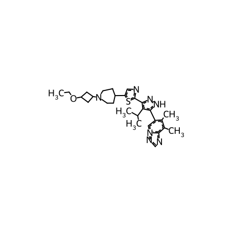 CCOC1CC(N2CCC(c3cnc(-c4n[nH]c(-c5cn6ncnc6c(C)c5C)c4C(C)C)s3)CC2)C1